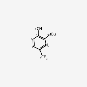 CC(C)(C)c1nc(C(F)(F)F)ccc1C#N